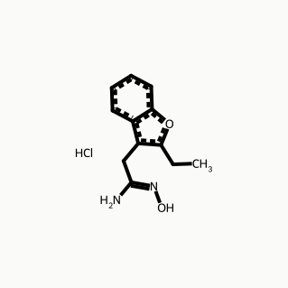 CCc1oc2ccccc2c1CC(N)=NO.Cl